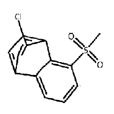 CS(=O)(=O)c1[c]ccc2c3ccc(c(Cl)c3)c12